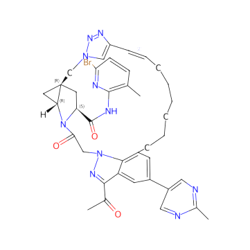 CC(=O)c1nn2c3c(cc(-c4cnc(C)nc4)cc13)CCCCCC/C=C\c1cn(nn1)C[C@@]13C[C@@H](C(=O)Nc4nc(Br)ccc4C)N(C(=O)C2)[C@@H]1C3